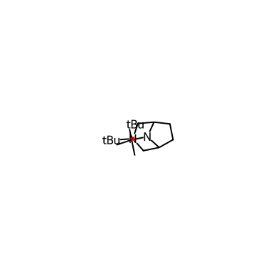 CC(C)(C)N1CC2CCC(C1)N2C(C)(C)C(C)(C)C